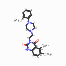 COc1ccccc1N1CCN(CCn2c(=O)[nH]c3ccc(OC)c(OC)c3c2=O)CC1